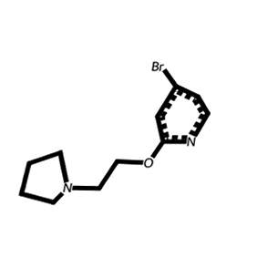 Brc1ccnc(OCCN2CCCC2)c1